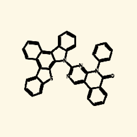 O=c1c2ccccc2c2cnc(-n3c4ccccc4c4c5ccccc5c5c6ccccc6sc5c43)nc2n1-c1ccccc1